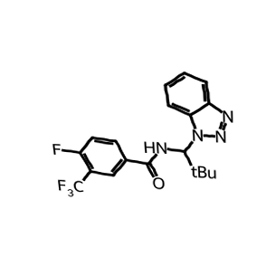 CC(C)(C)C(NC(=O)c1ccc(F)c(C(F)(F)F)c1)n1nnc2ccccc21